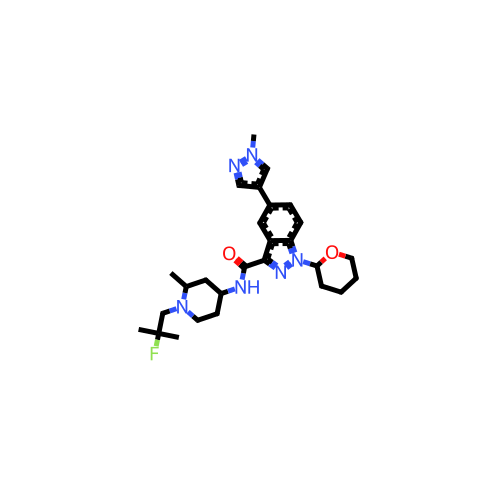 CC1CC(NC(=O)c2nn(C3CCCCO3)c3ccc(-c4cnn(C)c4)cc23)CCN1CC(C)(C)F